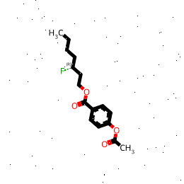 CCCC[C@@H](F)CCOC(=O)c1ccc(OC(C)=O)cc1